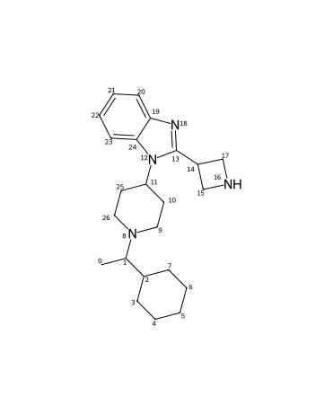 CC(C1CCCCC1)N1CCC(n2c(C3CNC3)nc3ccccc32)CC1